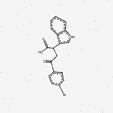 O=C(CC(C(=O)O)c1c[nH]c2ccccc12)c1ccc(Br)cc1